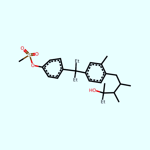 CCC(CC)(c1ccc(OS(C)(=O)=O)cc1)c1ccc(CC(C)C(C)C(C)(O)CC)c(C)c1